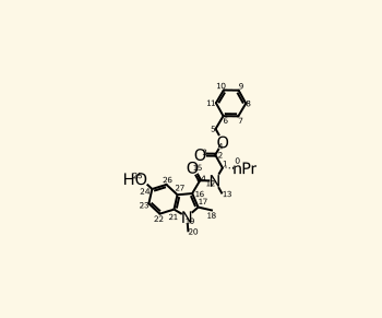 CCC[C@@H](C(=O)OCc1ccccc1)N(C)C(=O)c1c(C)n(C)c2ccc(O)cc12